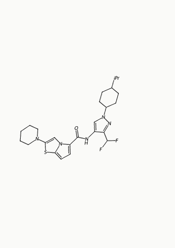 CC(C)C1CCC(n2cc(NC(=O)c3ccc4sc(N5CCCCC5)cn34)c(C(F)F)n2)CC1